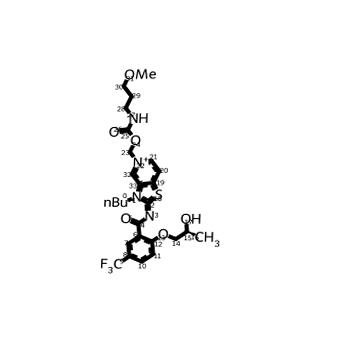 CCCCn1c(=NC(=O)c2cc(C(F)(F)F)ccc2OC[C@H](C)O)sc2cc[n+](COC(=O)NCCCOC)cc21